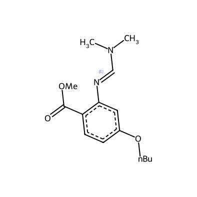 CCCCOc1ccc(C(=O)OC)c(/N=C/N(C)C)c1